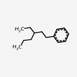 [CH2]CC(CCC)CCc1ccccc1